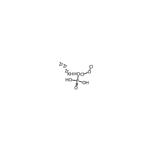 ClOCl.O=P(O)(O)O.[KH].[Zr].[Zr].[Zr]